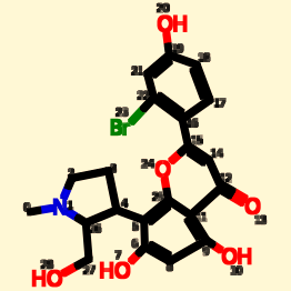 CN1CCC(c2c(O)cc(O)c3c(=O)cc(-c4ccc(O)cc4Br)oc23)C1CO